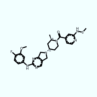 COc1cc(Nc2ncc3c(n2)CN([C@H]2CCN(C(=O)c4ccnc(NSC)c4)[C@H](C)C2)C3)ccc1F